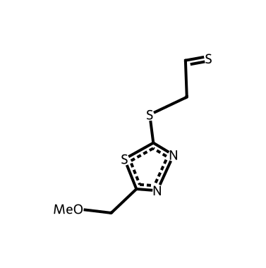 COCc1nnc(SCC=S)s1